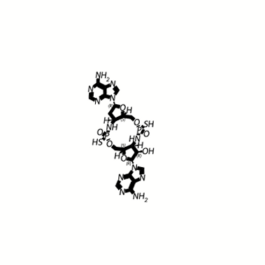 Nc1ncnc2c1ncn2[C@@H]1O[C@@H]2COP(=O)(S)N[C@H]3C[C@H](n4cnc5c(N)ncnc54)O[C@@H]3COP(=O)(S)N[C@H]2[C@H]1O